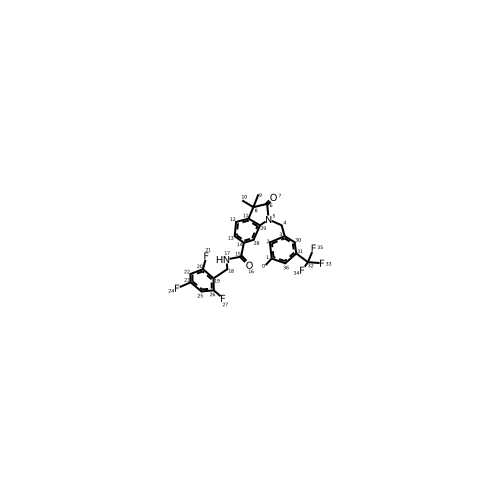 Cc1cc(CN2C(=O)C(C)(C)c3ccc(C(=O)NCc4c(F)cc(F)cc4F)cc32)cc(C(F)(F)F)c1